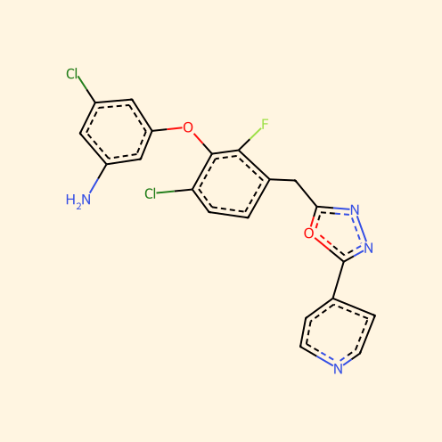 Nc1cc(Cl)cc(Oc2c(Cl)ccc(Cc3nnc(-c4ccncc4)o3)c2F)c1